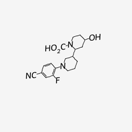 N#Cc1ccc(N2CCCC(C3CC(O)CCN3C(=O)O)C2)c(F)c1